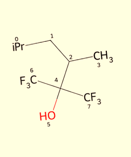 CC(C)CC(C)C(O)(C(F)(F)F)C(F)(F)F